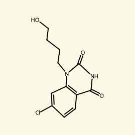 O=c1[nH]c(=O)n(CCCCO)c2cc(Cl)ccc12